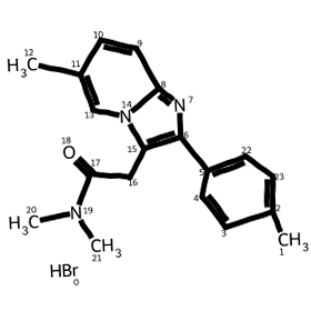 Br.Cc1ccc(-c2nc3ccc(C)cn3c2CC(=O)N(C)C)cc1